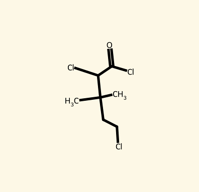 CC(C)(CCCl)C(Cl)C(=O)Cl